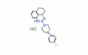 Cl.Fc1ccc(N2CCN(C3=NC4CCCc5cccc(c54)N3)CC2)cc1